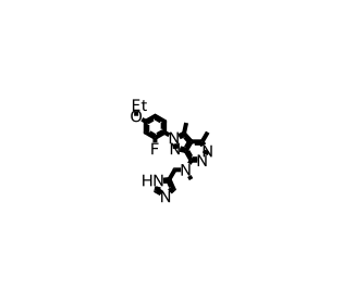 CCOc1ccc(-n2nc3c(N(C)Cc4cnc[nH]4)nnc(C)c3c2C)c(F)c1